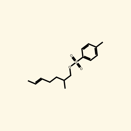 C/C=C/CCC(C)COS(=O)(=O)c1ccc(C)cc1